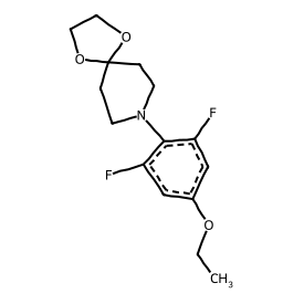 CCOc1cc(F)c(N2CCC3(CC2)OCCO3)c(F)c1